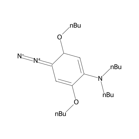 CCCCOC1=CC(=[N+]=[N-])C(OCCCC)C=C1N(CCCC)CCCC